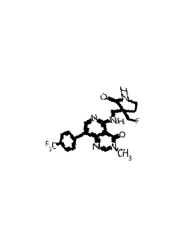 Cn1cnc2c(-c3ccc(C(F)(F)F)cc3)cnc(NCC3(CF)CCNC3=O)c2c1=O